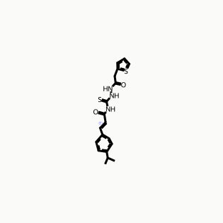 CC(C)c1ccc(/C=C/C(=O)NC(=S)NNC(=O)Cc2cccs2)cc1